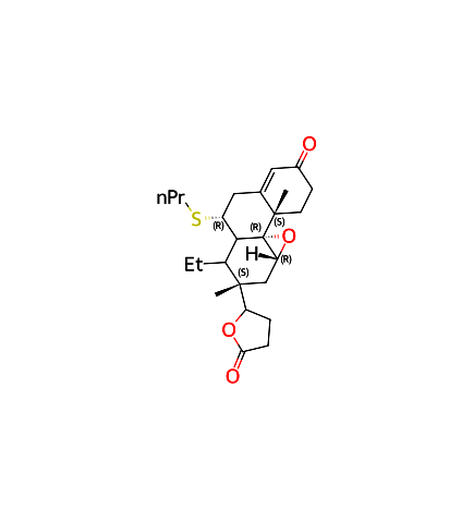 CCCS[C@@H]1CC2=CC(=O)CC[C@]2(C)[C@@]23O[C@@H]2C[C@](C)(C2CCC(=O)O2)C(CC)C13